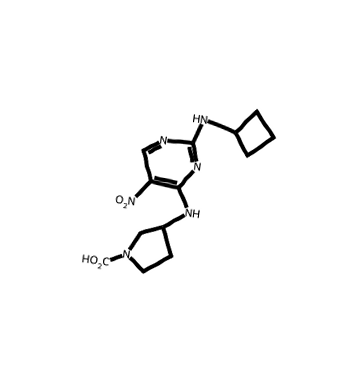 O=C(O)N1CCC(Nc2nc(NC3CCC3)ncc2[N+](=O)[O-])C1